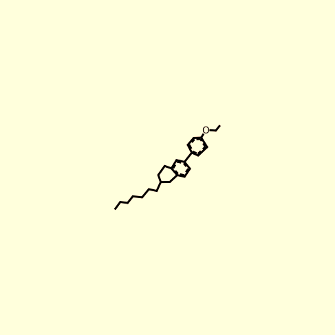 CCCCCCCC1CCc2cc(-c3ccc(OCC)cc3)ccc2C1